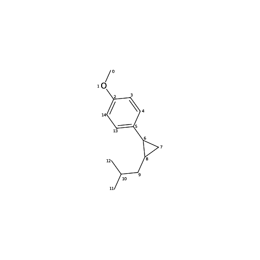 COc1ccc(C2CC2CC(C)C)cc1